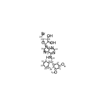 COc1cc(OC)cc(C(CNc2ncnc3c2ncn3[C@@H]2O[C@H](CBr)C(O)C2O)c2ccccc2C)c1